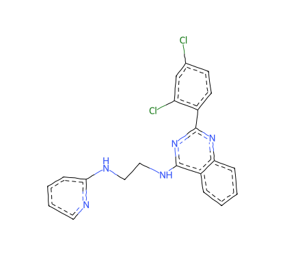 Clc1ccc(-c2nc(NCCNc3ccccn3)c3ccccc3n2)c(Cl)c1